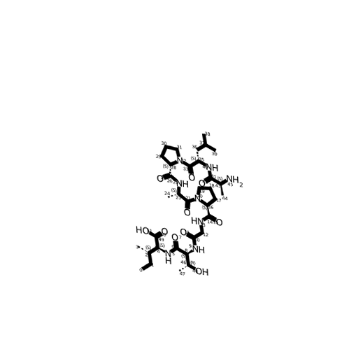 CC[C@H](C)[C@H](NC(=O)[C@@H](NC(=O)CNC(=O)[C@@H]1CCCN1C(=O)[C@H](C)NC(=O)[C@@H]1CCCN1C(=O)[C@H](CC(C)C)NC(=O)[C@H](C)N)[C@@H](C)O)C(=O)O